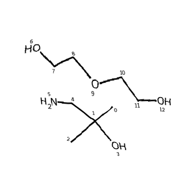 CC(C)(O)CN.OCCOCCO